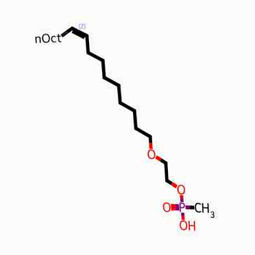 CCCCCCCC/C=C\CCCCCCCCOCCOP(C)(=O)O